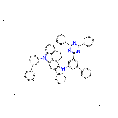 C1=Cc2c(n(-c3cc(-c4ccccc4)cc(-c4nc(-c5ccccc5)nc(-c5ccccc5)n4)c3)c3c4c5c6c(cccc6n(-c6cccc(-c7ccccc7)c6)c5cc23)CC4)CC1